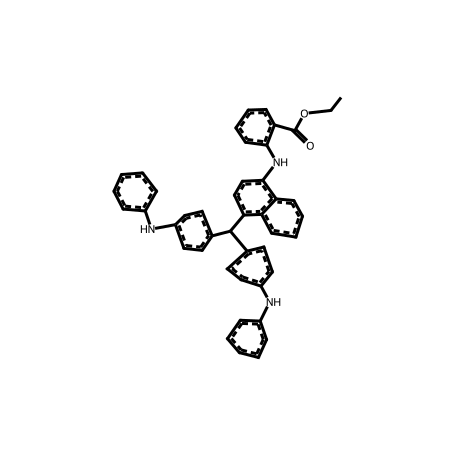 CCOC(=O)c1ccccc1Nc1ccc(C(c2ccc(Nc3ccccc3)cc2)c2ccc(Nc3ccccc3)cc2)c2ccccc12